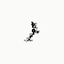 Cc1cc2cn(-c3ccc(CNCCCNC(=N)N)c(OC(F)(F)F)c3)c(=O)nc2[nH]1